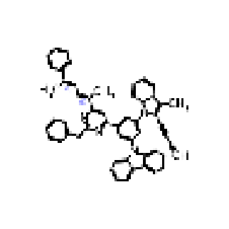 C#CC#CC1=C(C)C2C=CC=CC2N1c1cc(-c2cc(/C(C)=C/C=C(\C)c3ccccc3)nc(Cc3ccccc3)n2)cc(-n2c3ccccc3c3ccccc32)c1